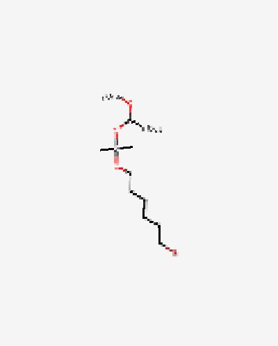 CCCCCCCCOC(CCCCCCCC)O[Si](C)(C)OCCCCCCBr